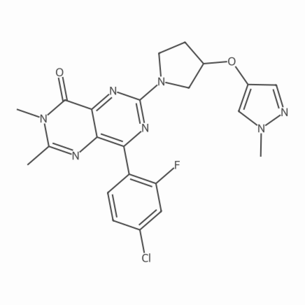 Cc1nc2c(-c3ccc(Cl)cc3F)nc(N3CCC(Oc4cnn(C)c4)C3)nc2c(=O)n1C